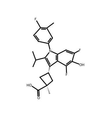 Cc1cc(-n2c(C(C)C)c([C@H]3C[C@](C)(C(=O)O)C3)c3c(F)c(O)c(F)cc32)ccc1F